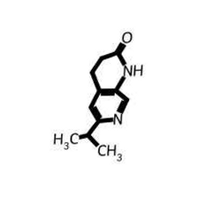 CC(C)c1cc2c(cn1)NC(=O)CC2